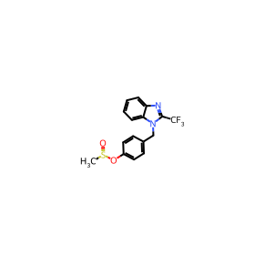 CS(=O)Oc1ccc(Cn2c(C(F)(F)F)nc3ccccc32)cc1